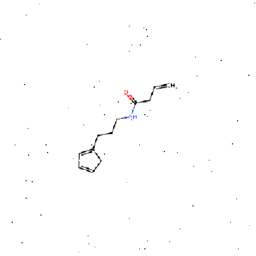 C=CCC(=O)NCCCC1=CC=CC1